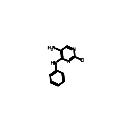 Nc1cnc(Cl)nc1Nc1ccccc1